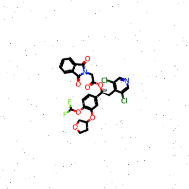 O=C(CN1C(=O)c2ccccc2C1=O)O[C@@H](Cc1c(Cl)cncc1Cl)c1ccc(OC(F)F)c(OC2CCOC2)c1